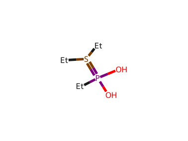 CCS(CC)=P(O)(O)CC